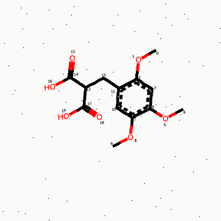 COc1cc(OC)c(OC)cc1CC(C(=O)O)C(=O)O